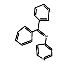 c1ccc(C(=Nc2ccncc2)c2ccccc2)cc1